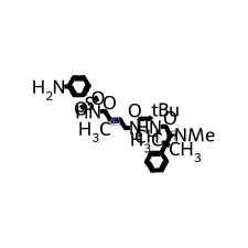 CN[C@H](C(=O)NC(C(=O)N(C)C/C=C(\C)C(=O)NS(=O)(=O)c1cccc(N)c1)C(C)(C)C)C(C)(C)c1ccccc1